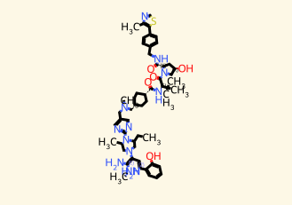 CCC1CN(C(/C=C(\N)c2ccccc2O)=C(\N)NC)CC(C)N1c1ncc(CN(C)C[C@H]2CC[C@@H](C(=O)N[C@H](C(=O)N3C[C@H](O)C[C@H]3C(=O)NCc3ccc(-c4scnc4C)cc3)C(C)(C)C)CC2)cn1